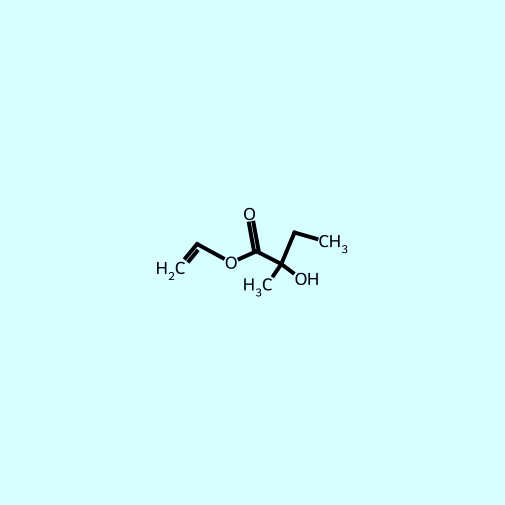 C=COC(=O)C(C)(O)CC